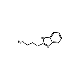 NCCSc1nc2ccccc2[nH]1